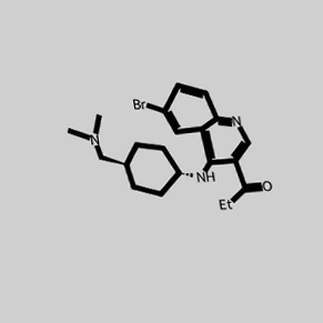 CCC(=O)c1cnc2ccc(Br)cc2c1N[C@H]1CC[C@H](CN(C)C)CC1